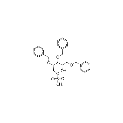 CS(=O)(=O)OC[C@@H](OCc1ccccc1)[C@H](OCc1ccccc1)[C@@H](O)COCc1ccccc1